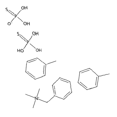 C[N+](C)(C)Cc1ccccc1.Cc1ccccc1.Cc1ccccc1.OP(O)(O)=S.[O-]P(O)(O)=S